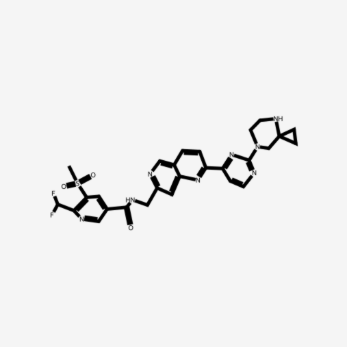 CS(=O)(=O)c1cc(C(=O)NCc2cc3nc(-c4ccnc(N5CCNC6(CC6)C5)n4)ccc3cn2)cnc1C(F)F